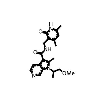 COCC(C)n1c(C)c(C(=O)NCc2c(C)cc(C)[nH]c2=O)c2ccncc21